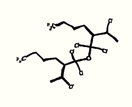 CC(Cl)C(CCCC(F)(F)F)C(Cl)(Cl)OC(Cl)(Cl)C(CCCC(F)(F)F)C(C)Cl